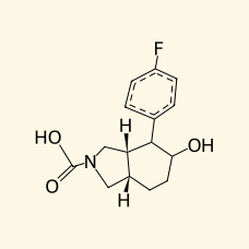 O=C(O)N1C[C@H]2CCC(O)C(c3ccc(F)cc3)[C@H]2C1